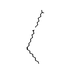 CCCCCCCC/C=C\CCCCCCCC(=O)OCCCCCCCC(C)Br